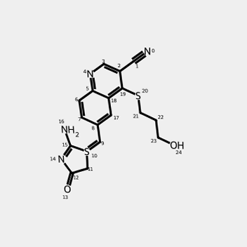 N#Cc1cnc2ccc(/C=S3/CC(=O)N=C3N)cc2c1SCCCO